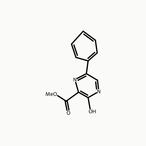 COC(=O)c1nc(-c2ccccc2)cnc1O